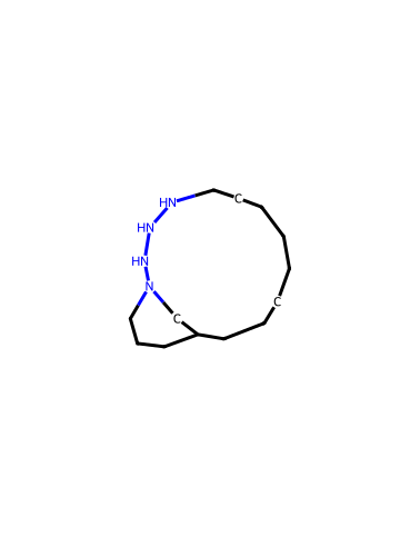 C1CCCCC2CCCN(C2)NNNCCC1